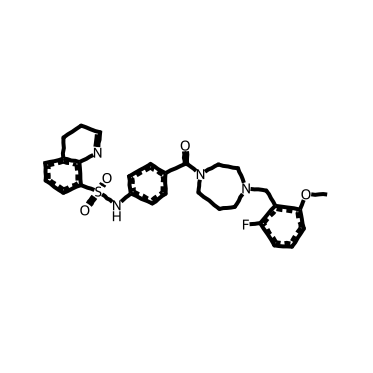 COc1cccc(F)c1CN1CCCN(C(=O)c2ccc(NS(=O)(=O)c3cccc4c3N=CCC4)cc2)CC1